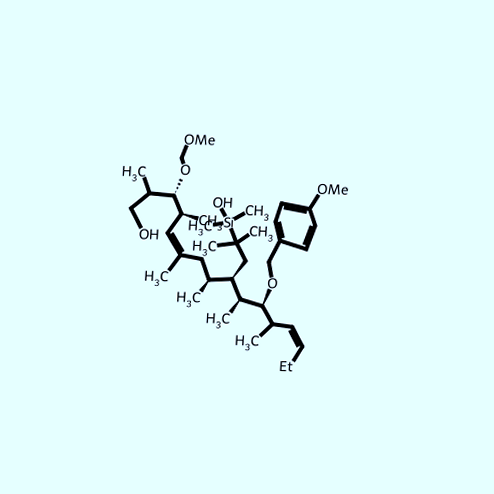 CC/C=C\C(C)[C@H](OCc1ccc(OC)cc1)[C@@H](C)[C@H](CC(C)(C)[Si](C)(C)O)[C@@H](C)C/C(C)=C\[C@H](C)[C@@H](OCOC)C(C)CO